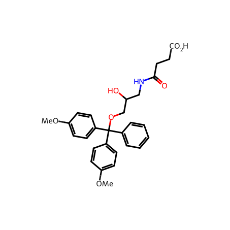 COc1ccc(C(OCC(O)CNC(=O)CCC(=O)O)(c2ccccc2)c2ccc(OC)cc2)cc1